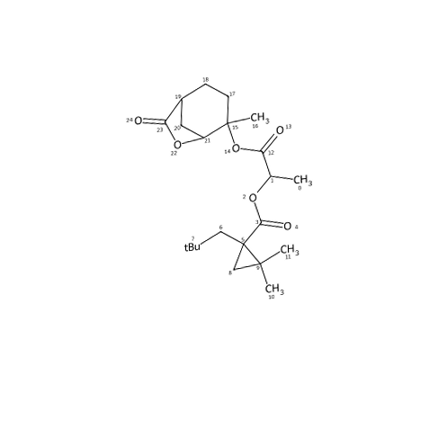 CC(OC(=O)C1(CC(C)(C)C)CC1(C)C)C(=O)OC1(C)CCC2CC1OC2=O